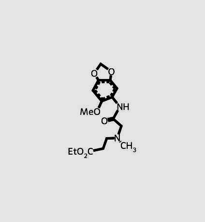 CCOC(=O)CCN(C)CC(=O)Nc1cc2c(cc1OC)OCO2